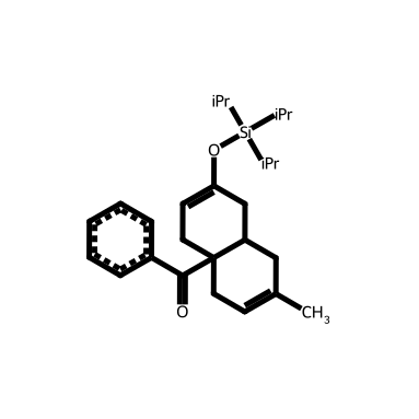 CC1=CCC2(C(=O)c3ccccc3)CC=C(O[Si](C(C)C)(C(C)C)C(C)C)CC2C1